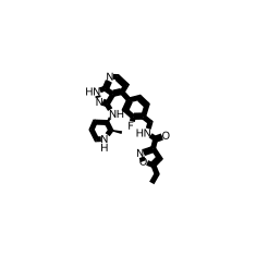 CCc1cc(C(=O)NCc2ccc(-c3ccnc4[nH]nc(N[C@@H]5CCCN[C@@H]5C)c34)cc2F)no1